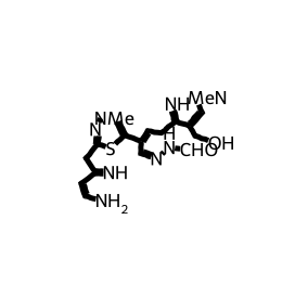 C=C(S/C(CC(=N)/C=C\N)=N\NC)C(/C=N\NC=O)=C/CC(=N)/C(=C\NC)CO